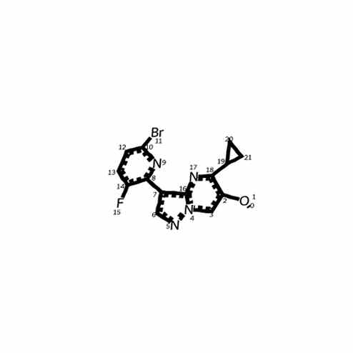 COc1cn2ncc(-c3nc(Br)ccc3F)c2nc1C1CC1